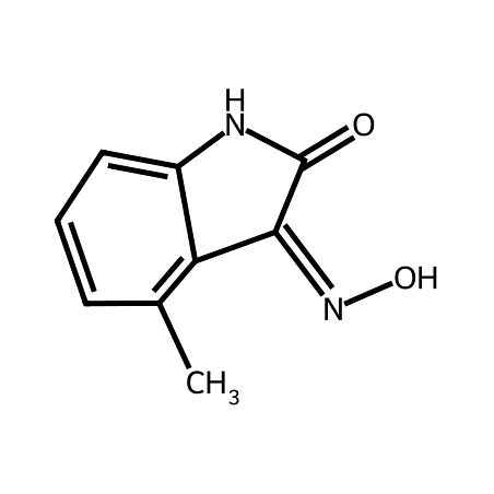 Cc1cccc2c1C(=NO)C(=O)N2